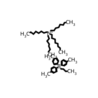 CCCCCCCC[N+](CCCCCCCC)(CCCCCCCC)CCCCCCCC.CCCC[B-](c1ccc(C)cc1)(c1ccc(C)cc1)c1ccc(C)cc1